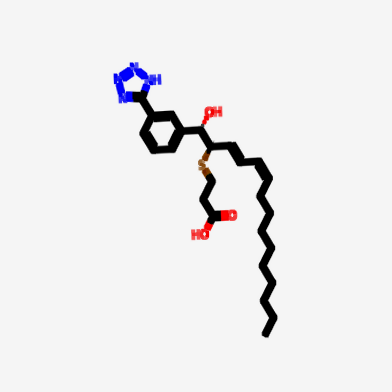 CCCCCCCCC/C=C\C=C\[C@@H](SCCC(=O)O)[C@@H](O)c1cccc(-c2nnn[nH]2)c1